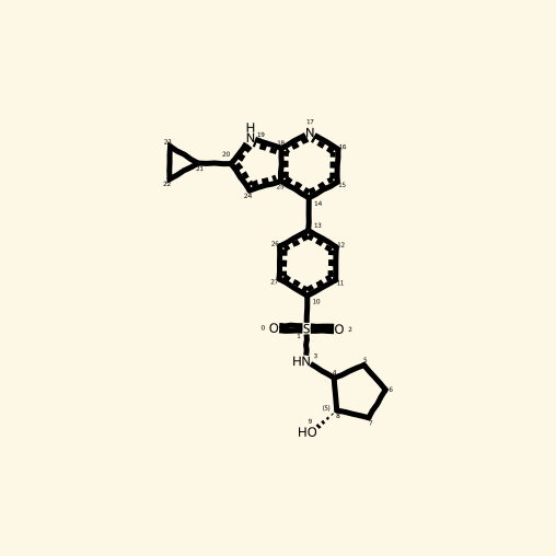 O=S(=O)(NC1CCC[C@@H]1O)c1ccc(-c2ccnc3[nH]c(C4CC4)cc23)cc1